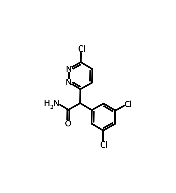 NC(=O)C(c1cc(Cl)cc(Cl)c1)c1ccc(Cl)nn1